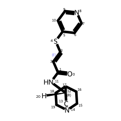 O=C(/C=C/Sc1ccncc1)N[C@H]1CN2CCC1CC2